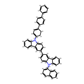 C1=C(c2ccc(-c3ccccc3)cc2)CCC(n2c3ccccc3c3cc(-c4ccc5c(c4)c4ccccc4n5-c4cccc5ccccc45)ccc32)=C1